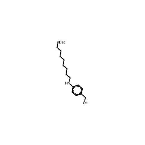 CCCCCCCCCCCCCCCCCCNc1ccc(CO)cc1